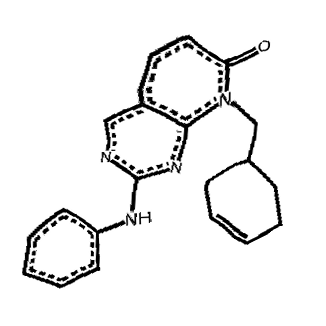 O=c1ccc2cnc(Nc3ccccc3)nc2n1CC1CC=CCC1